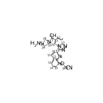 C[C@@H](c1ccc2nnc(-c3ccc4cccc(OCC#N)c4n3)n2c1)N1CC[C@H](N)C1